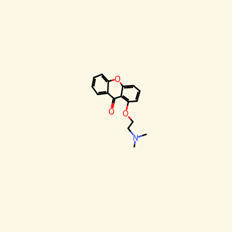 CN(C)CCOc1cccc2oc3ccccc3c(=O)c12